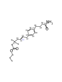 CCCOC(=O)CC(C)(C)C/C=C/Cc1ccc(CCCC(N)=O)cc1